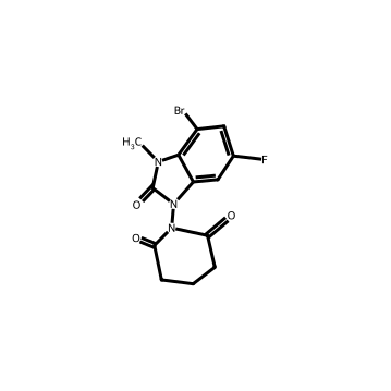 Cn1c(=O)n(N2C(=O)CCCC2=O)c2cc(F)cc(Br)c21